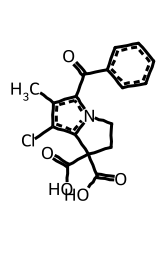 Cc1c(Cl)c2n(c1C(=O)c1ccccc1)CCC2(C(=O)O)C(=O)O